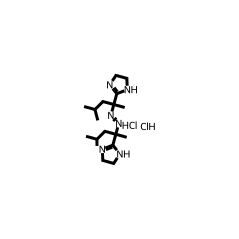 CC(C)CC(C)(N=NC(C)(CC(C)C)C1=NCCN1)C1=NCCN1.Cl.Cl